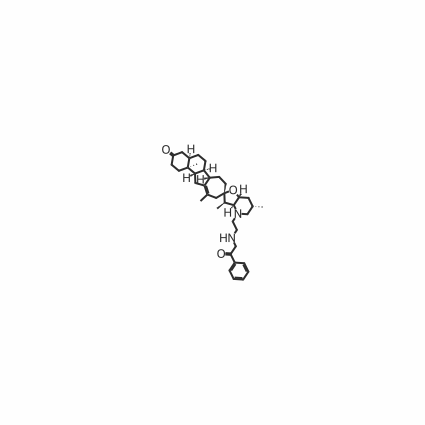 CC1=C2C[C@H]3[C@@H](CC[C@@H]4CC(=O)CC[C@@]43C)[C@@H]2CC[C@@]2(C1)O[C@@H]1C[C@H](C)CN(CCNCC(=O)c3ccccc3)[C@H]1[C@H]2C